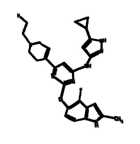 Cc1cc2c(F)c(Oc3nc(Nc4cc(C5CC5)[nH]n4)cc(C4=CCN(CCF)CC4)n3)ccc2[nH]1